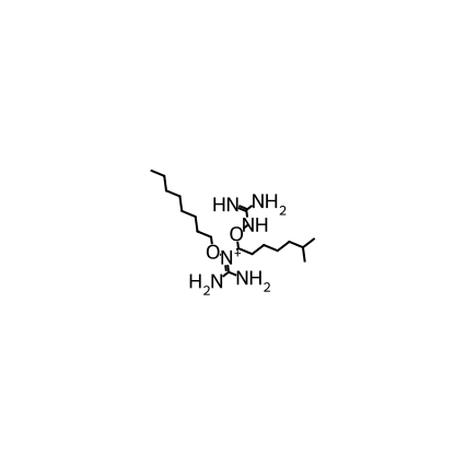 CCCCCCCCO[N+](=C(N)N)C(CCCCC(C)C)ONC(=N)N